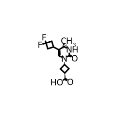 C[C@H]1NC(=O)N([C@H]2C[C@H](C(=O)O)C2)C=C1C1CC(F)(F)C1